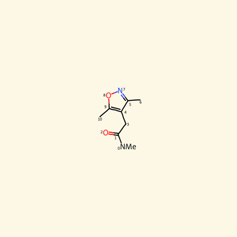 CNC(=O)Cc1c(C)noc1C